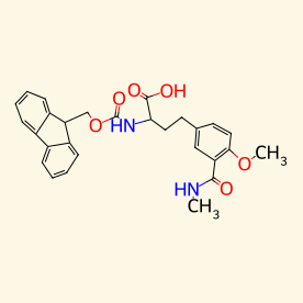 CNC(=O)c1cc(CCC(NC(=O)OCC2c3ccccc3-c3ccccc32)C(=O)O)ccc1OC